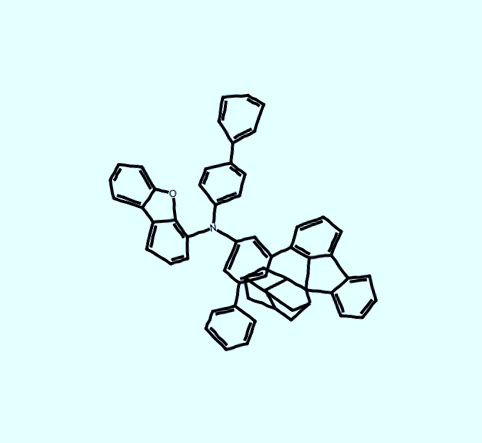 c1ccc(-c2ccc(N(c3cc(-c4ccccc4)cc(-c4cccc5c4C4(c6ccccc6-5)C5CC6CC(C5)CC4C6)c3)c3cccc4c3oc3ccccc34)cc2)cc1